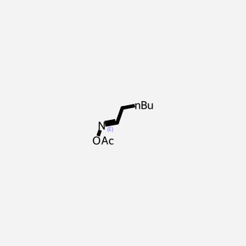 CCCCC/C=N/OC(C)=O